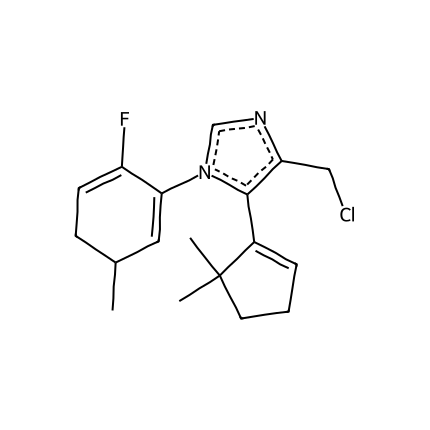 CC1C=C(n2cnc(CCl)c2C2=CCCC2(C)C)C(F)=CC1